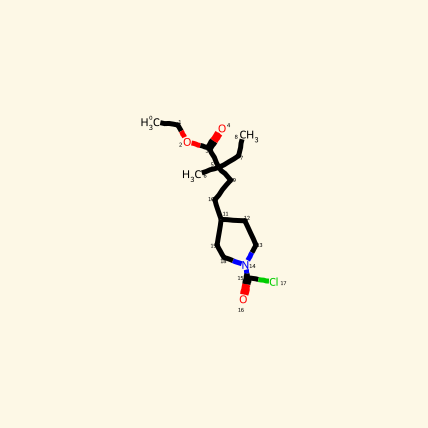 CCOC(=O)C(C)(CC)CCC1CCN(C(=O)Cl)CC1